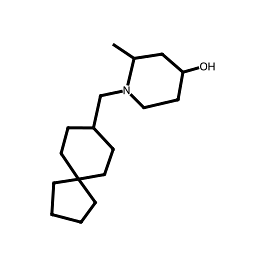 CC1CC(O)CCN1CC1CCC2(CCCC2)CC1